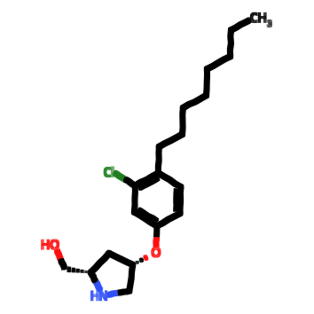 CCCCCCCCc1ccc(O[C@@H]2CN[C@H](CO)C2)cc1Cl